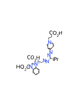 CC(C)C(N=NCC(C(=O)O)[n+]1cn(C(=O)O)c2ccccc21)=NN=c1ccn(CCC(=O)O)cc1